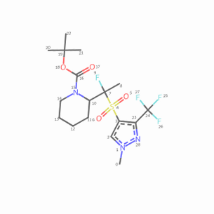 Cn1cc(S(=O)(=O)C(C)(F)C2CCCCN2C(=O)OC(C)(C)C)c(C(F)(F)F)n1